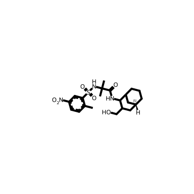 Cc1ccc([N+](=O)[O-])cc1S(=O)(=O)NC(C)(C)C(=O)NC1C(CO)C[C@H]2CCCC1C2